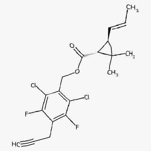 C#CCc1c(F)c(Cl)c(COC(=O)[C@@H]2[C@@H](C=CC)C2(C)C)c(Cl)c1F